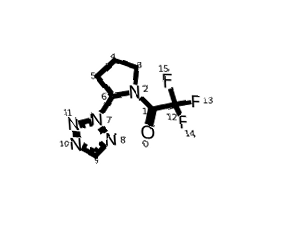 O=C(N1CCCC1n1ncnn1)C(F)(F)F